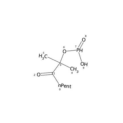 CCCCCC(=O)C(C)(C)O[PH](=O)O